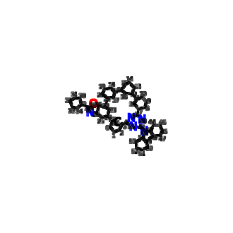 c1ccc(-c2nc(-c3cccc(-c4cccc(-c5cccc(-c6cccc7nc(-c8ccccc8)oc67)c5)c4)c3)nc(-n3c4ccccc4c4ccccc43)n2)cc1